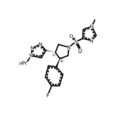 CCCn1cc([C@@H]2CN(S(=O)(=O)c3cn(C)cn3)C[C@H]2c2ccc(F)cc2)nn1